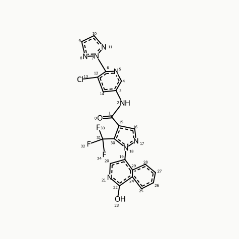 O=C(Nc1cnc(-n2nccn2)c(Cl)c1)c1cnn(-c2cnc(O)c3ccccc23)c1C(F)(F)F